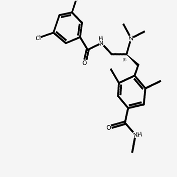 CNC(=O)c1cc(C)c(C[C@@H](CNC(=O)c2cc(Cl)cc(Cl)c2)N(C)C)c(C)c1